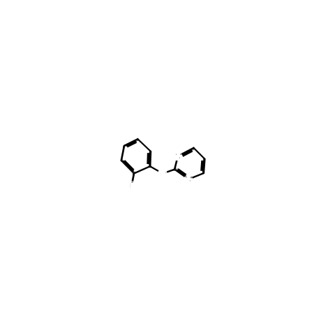 Fc1ccccc1Oc1n[c]ccn1